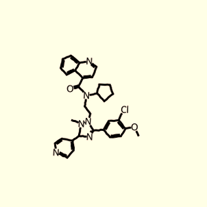 COc1ccc(C2=NC(c3ccncc3)N(C)N2CCN(C(=O)c2ccnc3ccccc23)C2CCCC2)cc1Cl